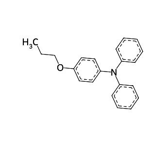 CCCOc1ccc(N(c2ccccc2)c2ccccc2)cc1